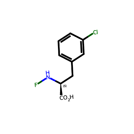 O=C(O)[C@H](Cc1cccc(Cl)c1)NF